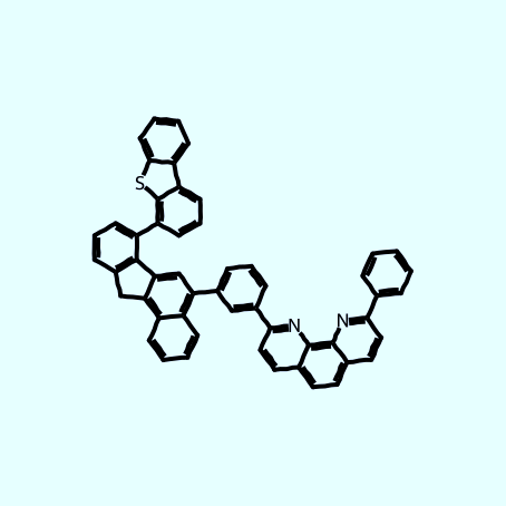 c1ccc(-c2ccc3ccc4ccc(-c5cccc(-c6cc7c(c8ccccc68)Cc6cccc(-c8cccc9c8sc8ccccc89)c6-7)c5)nc4c3n2)cc1